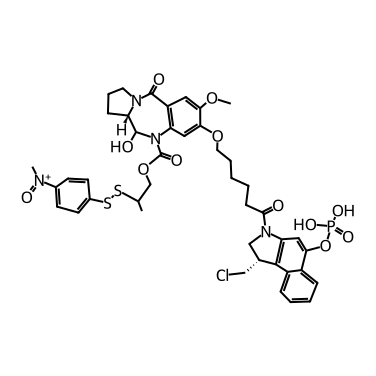 COc1cc2c(cc1OCCCCCC(=O)N1C[C@@H](CCl)c3c1cc(OP(=O)(O)O)c1ccccc31)N(C(=O)OCC(C)SSc1ccc([N+](C)=O)cc1)C(O)[C@@H]1CCCN1C2=O